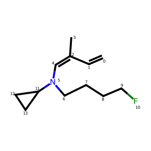 C=C/C(C)=C\N(CCCCF)C1CC1